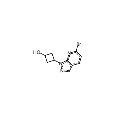 OC1CC(n2ncc3ccc(Br)nc32)C1